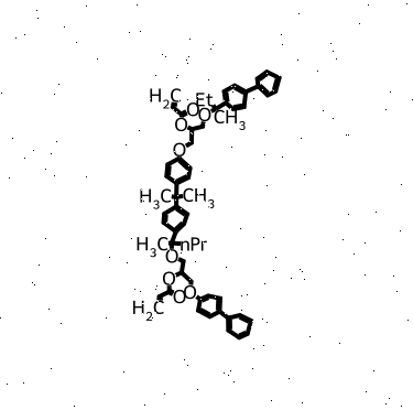 C=CC(=O)OC(COc1ccc(C(C)(C)c2ccc(C(C)(CCC)OCC(COc3ccc(-c4ccccc4)cc3)OC(=O)C=C)cc2)cc1)COC(C)(CC)c1ccc(-c2ccccc2)cc1